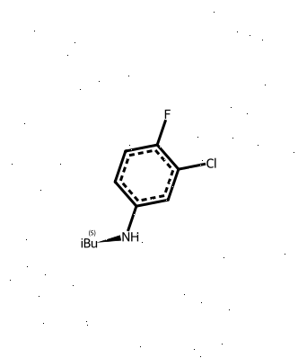 CC[C@H](C)Nc1ccc(F)c(Cl)c1